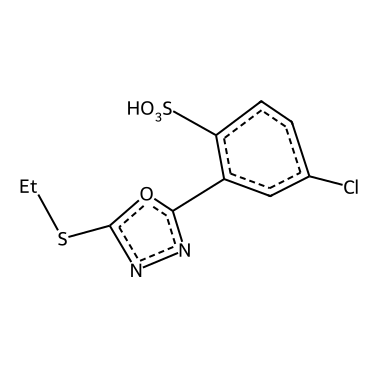 CCSc1nnc(-c2cc(Cl)ccc2S(=O)(=O)O)o1